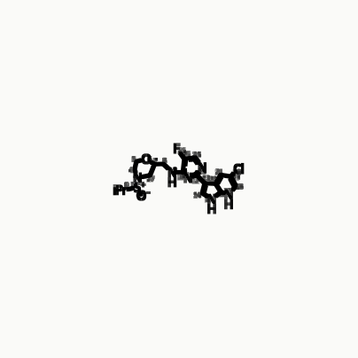 CC(C)[S+]([O-])N1CCOC(CNc2nc(C3=CNC4NC=C(Cl)C=C34)ncc2F)C1